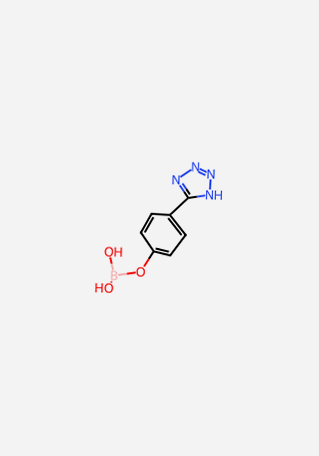 OB(O)Oc1ccc(-c2nnn[nH]2)cc1